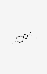 CN1CCC2(CC1)CC(N(C)C)C2